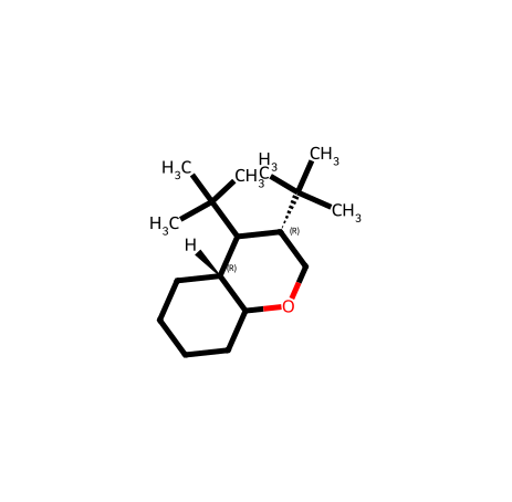 CC(C)(C)C1[C@H]2CCCCC2OC[C@H]1C(C)(C)C